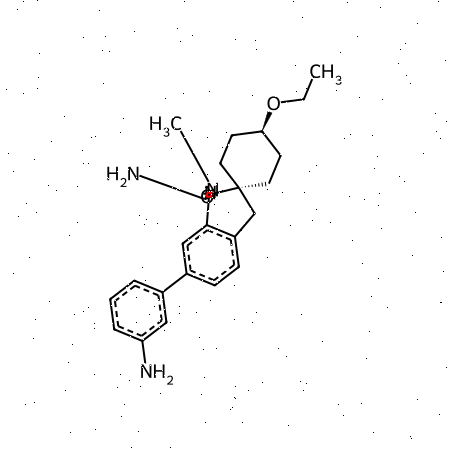 CCO[C@H]1CC[C@]2(CC1)Cc1ccc(-c3cccc(N)c3)cc1C21N=C(N)N(C)O1